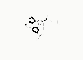 CCOC(=O)C1=NN(c2cccc([N+](=O)[O-])c2)N(c2cccc([N+](=O)[O-])c2)N1.Cl